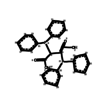 O=C(O)C(C(C(=O)O)P(c1ccccc1)c1ccccc1)P(c1ccccc1)c1ccccc1